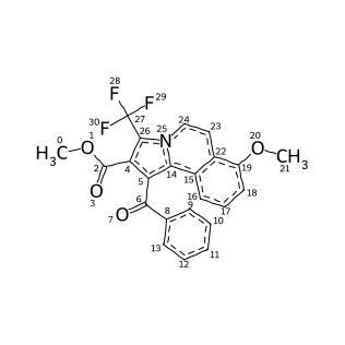 COC(=O)c1c(C(=O)c2ccccc2)c2c3cccc(OC)c3ccn2c1C(F)(F)F